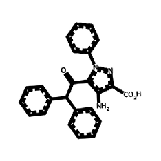 Nc1c(C(=O)O)nn(-c2ccccc2)c1C(=O)C(c1ccccc1)c1ccccc1